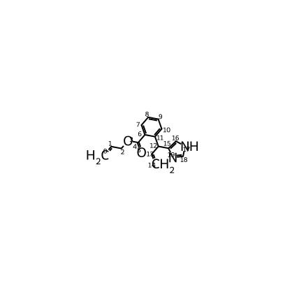 C=CCOC(=O)c1ccccc1C(C=C)c1c[nH]cn1